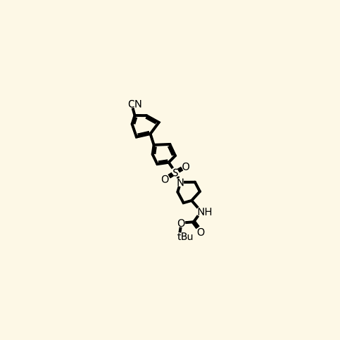 CC(C)(C)OC(=O)NC1CCN(S(=O)(=O)c2ccc(-c3ccc(C#N)cc3)cc2)CC1